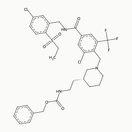 CCS(=O)(=O)c1ccc(Cl)cc1CNC(=O)c1cc(Cl)c(CN2CCC[C@H](CCNC(=O)OCc3ccccc3)C2)c(C(F)(F)F)c1